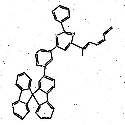 C=C/C=C\C=C(/C)c1cc(-c2cccc(-c3ccc4c(c3)C3(c5ccccc5-c5ccccc53)c3ccccc3-4)c2)nc(-c2ccccc2)n1